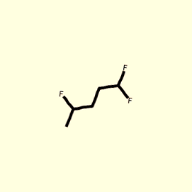 CC(F)CCC(F)F